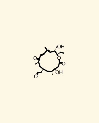 CC[C@H]1OC(=O)C[C@@H](O)[C@H](C)C[C@@H](CC=O)C[C@@H](C)C(=O)/C=C/C(C)=C/[C@@H]1CO